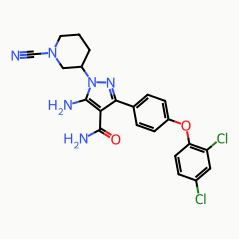 N#CN1CCCC(n2nc(-c3ccc(Oc4ccc(Cl)cc4Cl)cc3)c(C(N)=O)c2N)C1